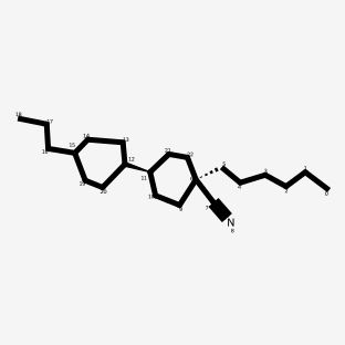 CCCCCC[C@]1(C#N)CC[C@@H](C2CCC(CCC)CC2)CC1